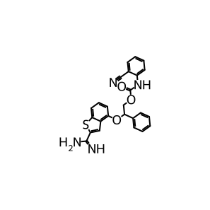 N#Cc1ccccc1NC(=O)OCC(Oc1cccc2sc(C(=N)N)cc12)c1ccccc1